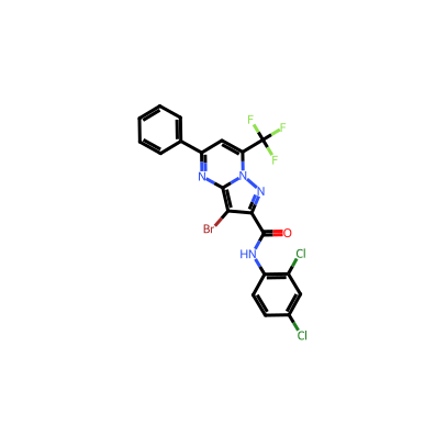 O=C(Nc1ccc(Cl)cc1Cl)c1nn2c(C(F)(F)F)cc(-c3ccccc3)nc2c1Br